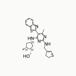 Cc1nc(NCC2=CSCC2)nc(N[C@@H]2C[C@H](CO)[C@@H](C)C2)c1-c1nc2ccccc2s1